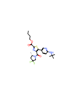 CCCCOC(=O)c1nc(C(=O)N2CC(F)(F)C[C@@H]2C)c(-c2ccc(NC(C)(C)C)nc2)s1